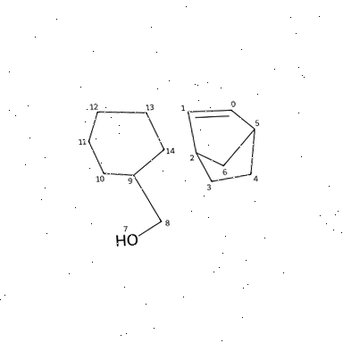 C1=CC2CCC1C2.OCC1CCCCC1